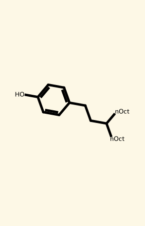 CCCCCCCCC(CCCCCCCC)CCc1ccc(O)cc1